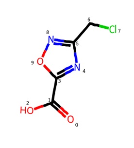 O=C(O)c1nc(CCl)no1